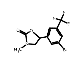 CN1CC(c2cc(Br)cc(C(F)(F)F)c2)OC1=O